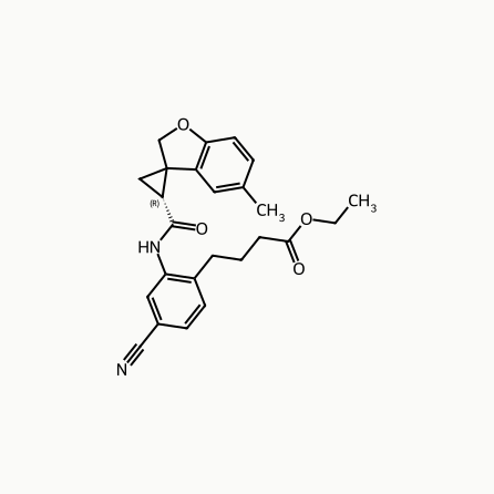 CCOC(=O)CCCc1ccc(C#N)cc1NC(=O)[C@@H]1CC12COc1ccc(C)cc12